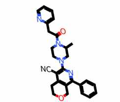 CC1CN(c2nc(-c3ccccc3)c3c(c2C#N)CCOC3)CCN1C(=O)Cc1ccccn1